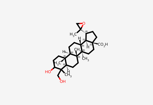 CC1([C@@H]2CC[C@]3(C(=O)O)CC[C@]4(C)[C@H](CC[C@@H]5[C@@]6(C)CCC(O)C(C)(CO)[C@@H]6CC[C@]54C)[C@@H]23)CO1